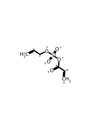 C=CCOS(=O)(=O)OC(=O)C=C